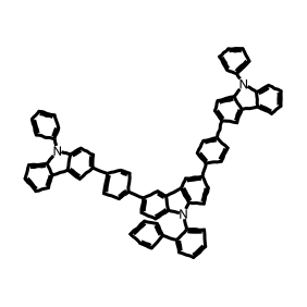 c1ccc(-c2ccccc2-n2c3ccc(-c4ccc(-c5ccc6c(c5)c5ccccc5n6-c5ccccc5)cc4)cc3c3cc(-c4ccc(-c5ccc6c(c5)c5ccccc5n6-c5ccccc5)cc4)ccc32)cc1